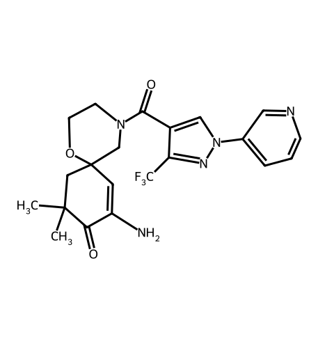 CC1(C)CC2(C=C(N)C1=O)CN(C(=O)c1cn(-c3cccnc3)nc1C(F)(F)F)CCO2